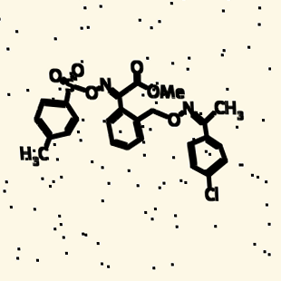 COC(=O)C(=NOS(=O)(=O)c1ccc(C)cc1)c1ccccc1CON=C(C)c1ccc(Cl)cc1